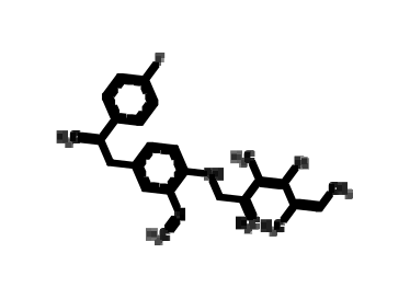 C=Nc1cc(CC(=C)c2ccc(F)cc2)ccc1NCC(=C)/C(C)=C(CC)\C(C)=C/C